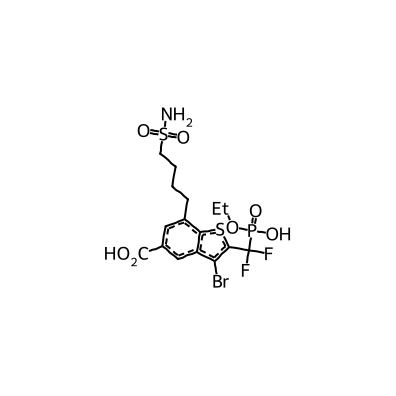 CCOP(=O)(O)C(F)(F)c1sc2c(CCCCS(N)(=O)=O)cc(C(=O)O)cc2c1Br